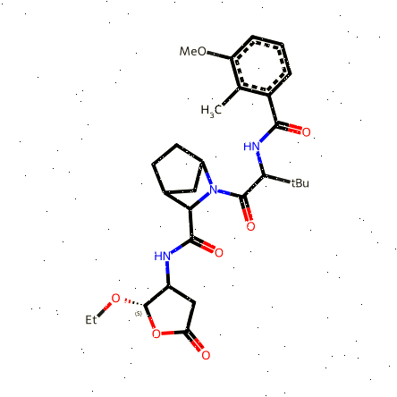 CCO[C@H]1OC(=O)CC1NC(=O)C1C2CCC(C2)N1C(=O)C(NC(=O)c1cccc(OC)c1C)C(C)(C)C